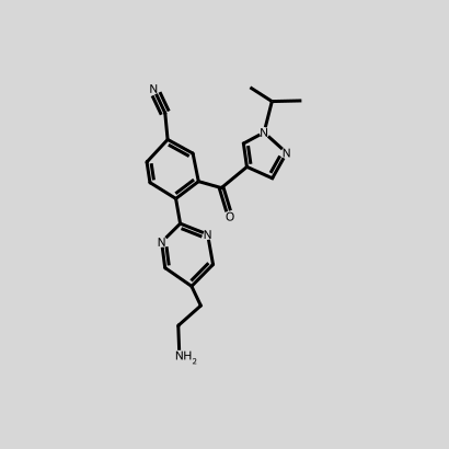 CC(C)n1cc(C(=O)c2cc(C#N)ccc2-c2ncc(CCN)cn2)cn1